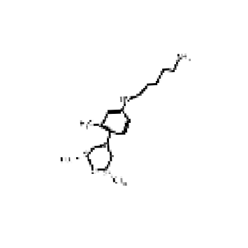 Cc1cc(NCCCCCN)ccc1N1C[C@@H](C)O[C@@H](C)C1